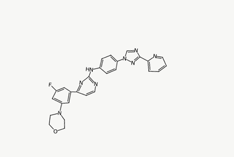 Fc1cc(-c2ccnc(Nc3ccc(-n4cnc(-c5ccccn5)n4)cc3)n2)cc(N2CCOCC2)c1